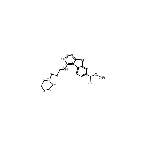 CCCOC(=O)c1ccc2c(c1)[nH]c1ncnc(NCCCN3CCCCC3)c12